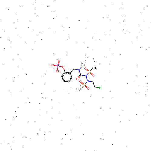 CN(Cc1ccccc1OP(=O)(O)O)C(=O)N(N(CCCl)S(C)(=O)=O)S(C)(=O)=O